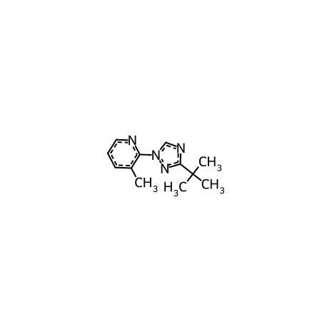 Cc1cccnc1-n1cnc(C(C)(C)C)n1